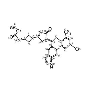 CC(C)(C)OC(=O)NC1CN(C2=NC(=O)C(=C(Cc3ccc(Cl)cc3C(F)(F)F)c3ccc4[nH]ncc4c3)S2)C1